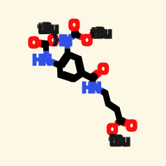 CC(C)(C)OC(=O)CCCNC(=O)c1ccc(NC(=O)OC(C)(C)C)c(NC(=O)OC(C)(C)C)c1